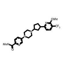 CNC(=O)c1ccc(N2CCN(C3CCC(c4ccc(C(F)(F)F)c(OC)n4)C3)CC2)cn1